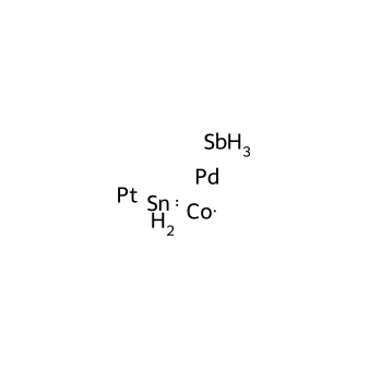 [Co].[Pd].[Pt].[SbH3].[SnH2]